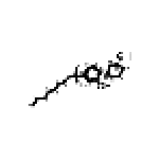 CCCCCCCCC(C)(C)c1ccc([C@H]2CCC[C@H](O)C2)c(O)c1